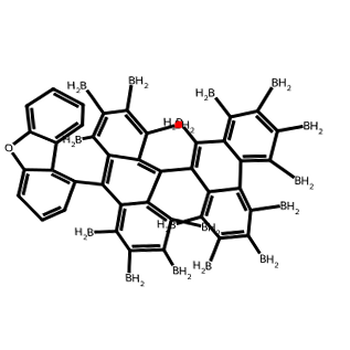 Bc1c(B)c(B)c2c(-c3cccc4oc5ccccc5c34)c3c(B)c(B)c(B)c(B)c3c(-c3c(B)c4c(B)c(B)c(B)c(B)c4c4c(B)c(B)c(B)c(B)c34)c2c1B